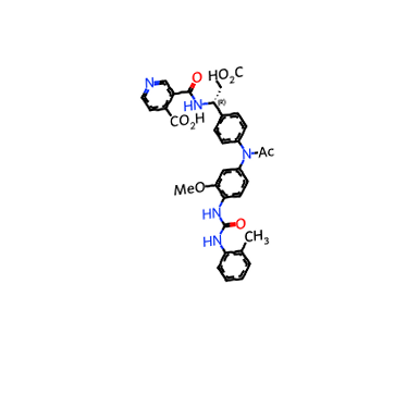 COc1cc(N(C(C)=O)c2ccc([C@@H](CC(=O)O)NC(=O)c3cnccc3C(=O)O)cc2)ccc1NC(=O)Nc1ccccc1C